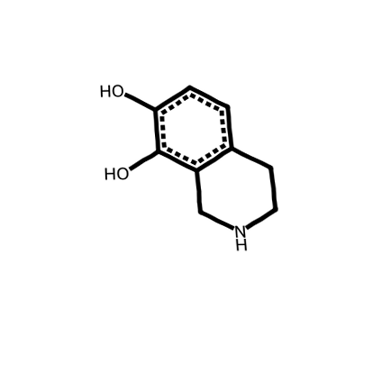 Oc1ccc2c(c1O)CNCC2